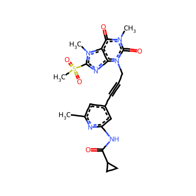 Cc1cc(C#CCn2c(=O)n(C)c(=O)c3c2nc(S(C)(=O)=O)n3C)cc(NC(=O)C2CC2)n1